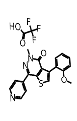 COc1ccccc1-c1csc2c(-c3ccncc3)nn(C)c(=O)c12.O=C(O)C(F)(F)F